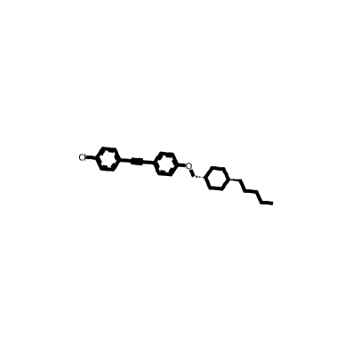 CCCCC[C@H]1CC[C@H](COc2ccc(C#Cc3ccc(Cl)cc3)cc2)CC1